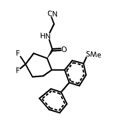 CSc1ccc(-c2ccccc2)c(C2CCC(F)(F)C[C@H]2C(=O)NCC#N)c1